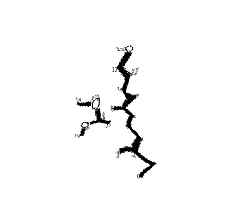 CC/C(C)=C/CC/C(C)=C/CCC=O.COC(C)OC